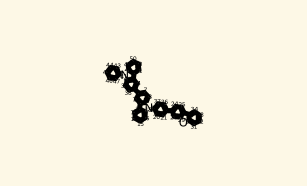 C1=CC2c3cc(-c4ccc5c(c4)c4ccccc4n5-c4ccc(-c5ccc6c(c5)oc5ccccc56)cc4)ccc3N(c3ccccc3)C2C=C1